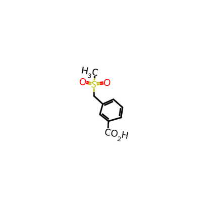 CS(=O)(=O)Cc1cccc(C(=O)O)c1